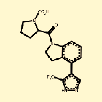 O=C(C1CCCN1C(=O)O)N1CCc2c(-c3cn[nH]c3C(F)(F)F)cccc21